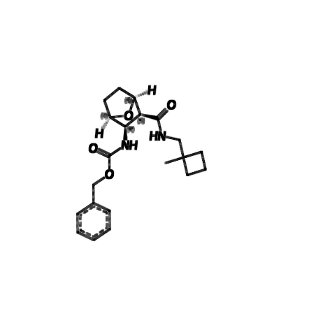 CC1(CNC(=O)[C@H]2[C@@H](NC(=O)OCc3ccccc3)[C@H]3CC[C@@H]2O3)CCC1